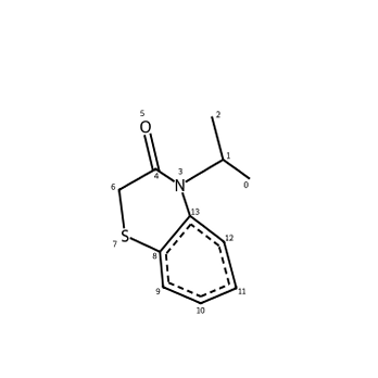 CC(C)N1C(=O)CSc2ccccc21